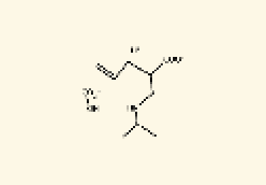 C=CCC(CNN(C)C)C(=O)[O-].O=C(O)O.[H+]